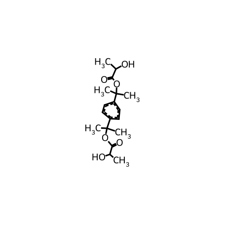 CC(O)C(=O)OC(C)(C)c1ccc(C(C)(C)OC(=O)C(C)O)cc1